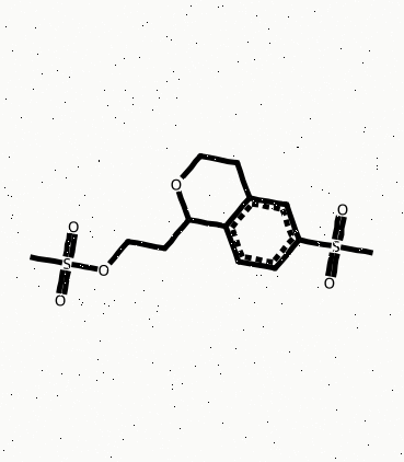 CS(=O)(=O)OCCC1OCCc2cc(S(C)(=O)=O)ccc21